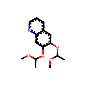 COC(C)Oc1cc2cccnc2cc1OC(C)OC